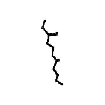 CCCCNCCCC(=O)OC